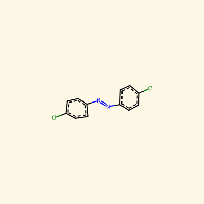 Clc1ccc(N=Nc2ccc(Cl)cc2)cc1